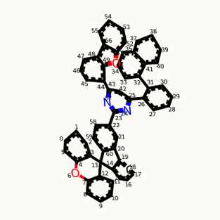 c1ccc2c(c1)Oc1ccccc1C21c2ccccc2-c2cc(-c3nc(-c4ccccc4-c4cccc5ccccc45)cc(-c4cccc5c4oc4ccccc45)n3)ccc21